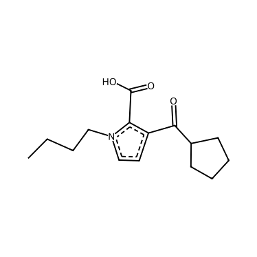 CCCCn1ccc(C(=O)C2CCCC2)c1C(=O)O